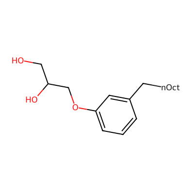 CCCCCCCCCc1cccc(OCC(O)CO)c1